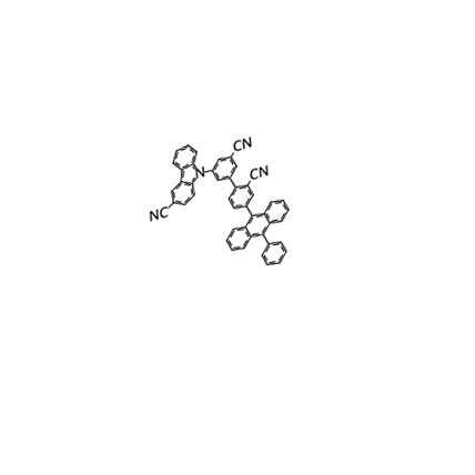 N#Cc1cc(-c2ccc(-c3c4ccccc4c(-c4ccccc4)c4ccccc34)cc2C#N)cc(-n2c3ccccc3c3cc(C#N)ccc32)c1